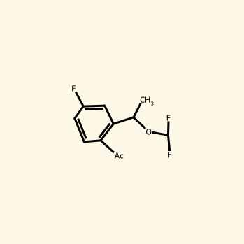 CC(=O)c1ccc(F)cc1C(C)OC(F)F